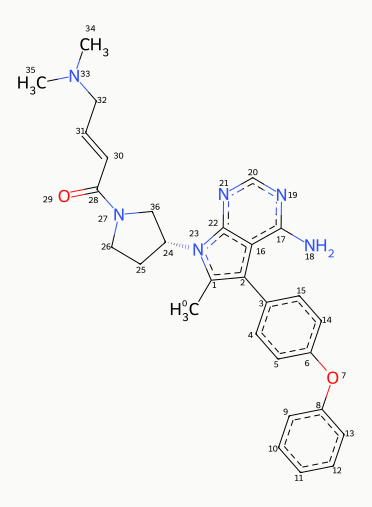 Cc1c(-c2ccc(Oc3ccccc3)cc2)c2c(N)ncnc2n1[C@@H]1CCN(C(=O)/C=C/CN(C)C)C1